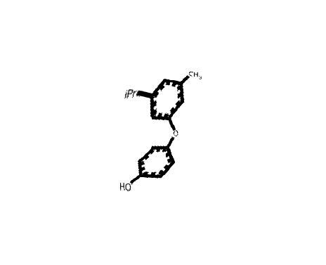 Cc1cc(Oc2ccc(O)cc2)cc(C(C)C)c1